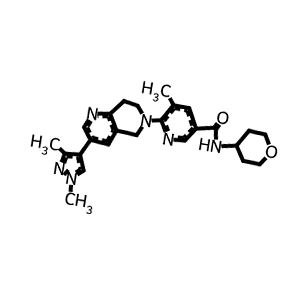 Cc1cc(C(=O)NC2CCOCC2)cnc1N1CCc2ncc(-c3cn(C)nc3C)cc2C1